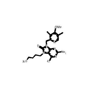 COc1c(C)cnc(Cn2c(=O)n(CCCCOC(C)=O)c3c(Cl)nc(N)nc32)c1C